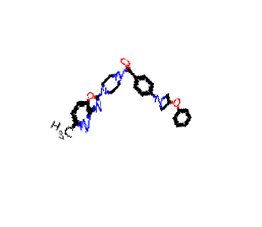 Cc1ccc2oc(N3CCN(C(=O)c4ccc(N5CC(Oc6ccccc6)C5)cc4)CC3)nc2n1